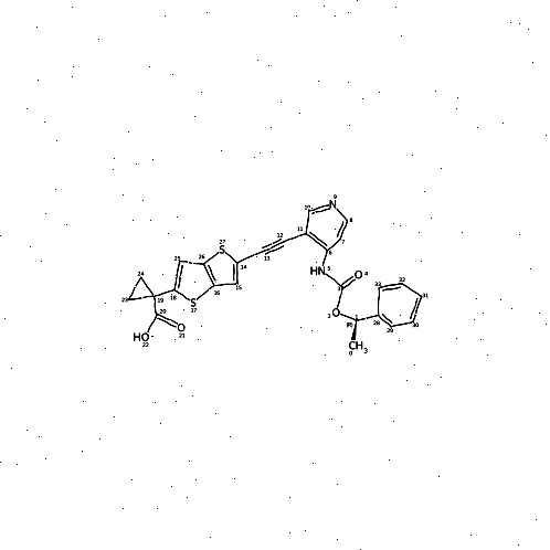 C[C@@H](OC(=O)Nc1ccncc1C#Cc1cc2sc(C3(C(=O)O)CC3)cc2s1)c1ccccc1